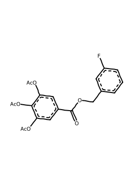 CC(=O)Oc1cc(C(=O)OCc2cccc(F)c2)cc(OC(C)=O)c1OC(C)=O